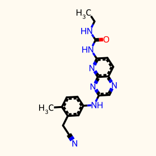 CCNC(=O)Nc1ccc2ncc(Nc3ccc(C)c(CC#N)c3)nc2n1